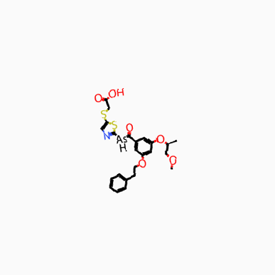 COC[C@H](C)Oc1cc(OCCc2ccccc2)cc(C(=O)[AsH]c2ncc(SCC(=O)O)s2)c1